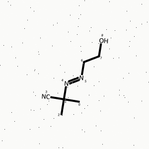 CC(C)(C#N)N=NCCO